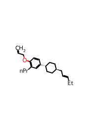 C=CCOc1ccc([C@H]2CC[C@H](CC=CCC)CC2)cc1CCC